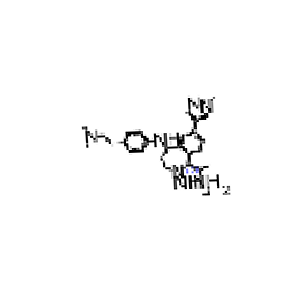 C/C(N)=C1\c2ccc(-c3cnn(C)c3)cc2C(Nc2ccc(CCN(C)C)cc2)CCN1N